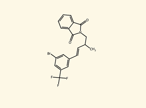 CC(C=Cc1cc(Br)cc(C(F)(F)F)c1)CN1C(=O)c2ccccc2C1=O